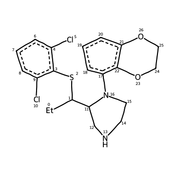 CCC(Sc1c(Cl)cccc1Cl)C1CNCCN1c1cccc2c1OCCO2